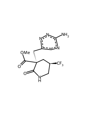 COC(=O)[C@@]1(Cc2cnc(N)nn2)C[C@@H](C(F)(F)F)CNC1=O